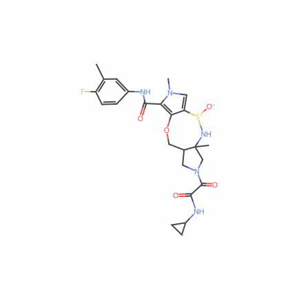 Cc1cc(NC(=O)c2c3c(cn2C)[S+]([O-])NC2(C)CN(C(=O)C(=O)NC4CC4)CC2CO3)ccc1F